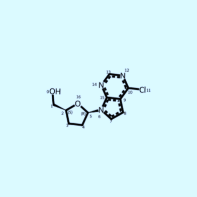 OC[C@@H]1CC[C@H](n2ccc3c(Cl)ncnc32)O1